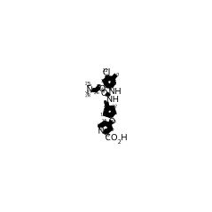 Cc1cc(NC(=O)NCc2ccc(Oc3ccnc(C(=O)O)c3)cc2)c(OCCN(C)C)cc1Cl